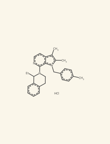 CCC1c2ccccc2CCN1c1nccc2c(C)c(C)n(Cc3ccc(C)cc3)c12.Cl